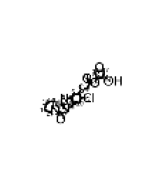 O=C(CSc1cc(N=c2sc(=O)n3n2CCCC3)c(F)cc1Cl)OC1COCC1O